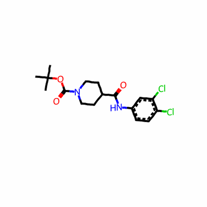 CC(C)(C)OC(=O)N1CCC(C(=O)Nc2ccc(Cl)c(Cl)c2)CC1